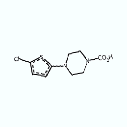 O=C(O)N1CCN(c2ccc(Cl)s2)CC1